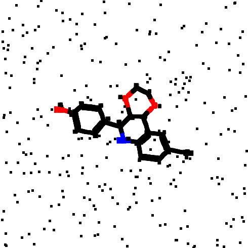 CC(C)(C)c1ccc2c(c1)C1OCCOC1C(c1ccc(O)cc1)N2